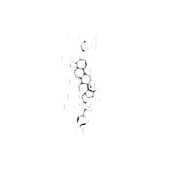 CC(C)C1=C2[C@H]3CC[C@@H]4[C@@]5(C)CC[C@H](OC(=O)CC(C)(C)C(=O)O)C(C)(C)[C@@H]5CC[C@@]4(C)[C@]3(C)CC[C@@]2([C@@H](O)c2nnc(-c3ccc(Cl)cn3)n2C)CC1=O